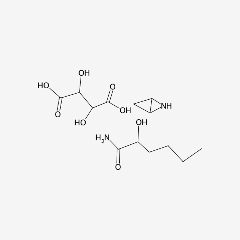 C1C2NC12.CCCCC(O)C(N)=O.O=C(O)C(O)C(O)C(=O)O